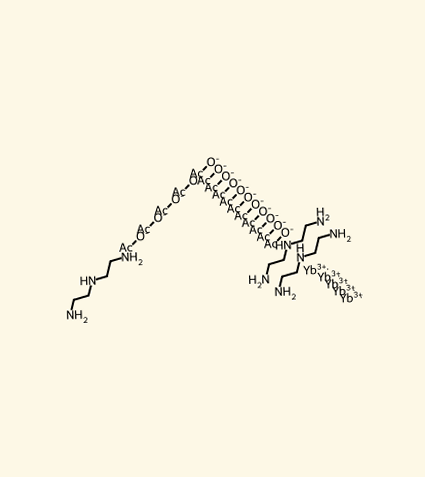 CC(=O)[O-].CC(=O)[O-].CC(=O)[O-].CC(=O)[O-].CC(=O)[O-].CC(=O)[O-].CC(=O)[O-].CC(=O)[O-].CC(=O)[O-].CC(=O)[O-].CC(=O)[O-].CC(=O)[O-].CC(=O)[O-].CC(=O)[O-].CC(=O)[O-].NCCNCCN.NCCNCCN.NCCNCCN.[Yb+3].[Yb+3].[Yb+3].[Yb+3].[Yb+3]